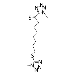 Cn1nnnc1SCCCCCCCC(=S)c1nnnn1C